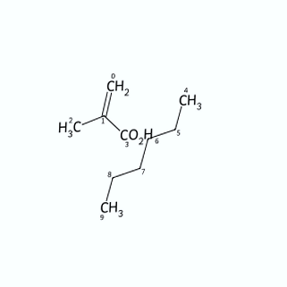 C=C(C)C(=O)O.CCCCCC